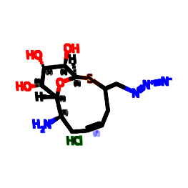 Cl.[N-]=[N+]=NCC1C/C=C\C[C@@H](N)[C@H]2O[C@H](S1)[C@H](O)[C@@H](O)[C@H]2O